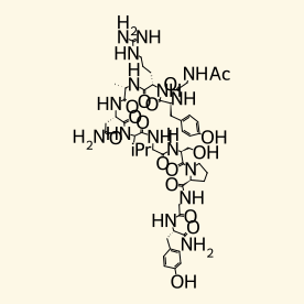 CC(=O)NCC(=O)N[C@@H](Cc1ccc(O)cc1)C(=O)N[C@@H](CCCNC(=N)N)C(=O)N[C@@H](C)C(=O)N[C@@H](CC(N)=O)C(=O)NC(C(=O)NCC(=O)N[C@@H](CO)C(=O)N1CCC[C@H]1C(=O)NCC(=O)N[C@@H](Cc1ccc(O)cc1)C(N)=O)C(C)C